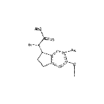 CCC(C(=O)OC)C1CCc2cc(OI)c(C(C)=O)cc21